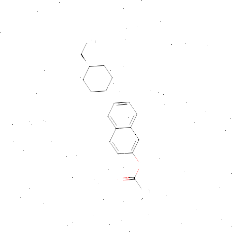 CCCC(=O)Oc1ccc2cc([C@H]3CC[C@H](CC(C)CC)CC3)ccc2c1